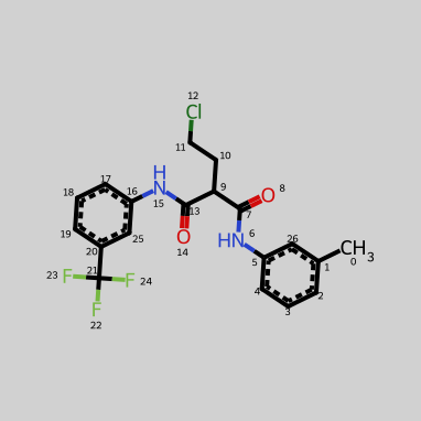 Cc1cccc(NC(=O)C(CCCl)C(=O)Nc2cccc(C(F)(F)F)c2)c1